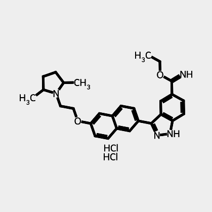 CCOC(=N)c1ccc2[nH]nc(-c3ccc4cc(OCCN5C(C)CCC5C)ccc4c3)c2c1.Cl.Cl